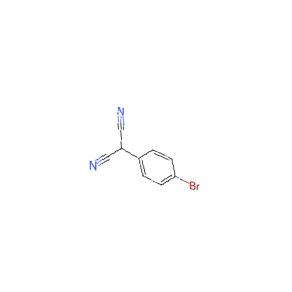 N#CC(C#N)c1ccc(Br)cc1